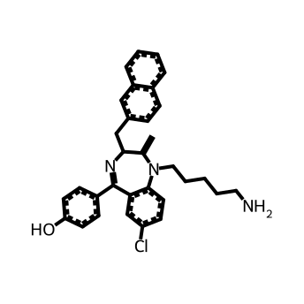 C=C1C(Cc2ccc3ccccc3c2)N=C(c2ccc(O)cc2)c2cc(Cl)ccc2N1CCCCCN